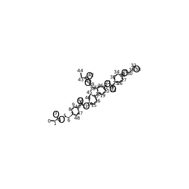 C=CC(=O)OCCc1ccc(C(=O)Oc2ccc(-c3ccc(OC(=O)c4ccc(OCC5CO5)cc4)cc3CCOC(=O)C=C)cc2)cc1